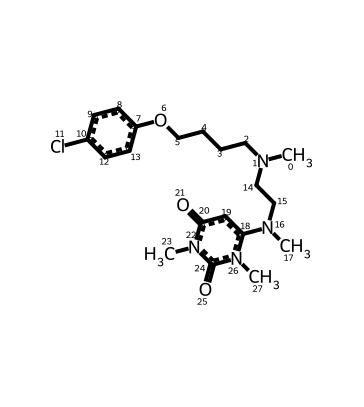 CN(CCCCOc1ccc(Cl)cc1)CCN(C)c1cc(=O)n(C)c(=O)n1C